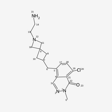 Cn1ncc2c(CC3CC4(C3)CN(CCN)C4)ccc(Cl)c2c1=O